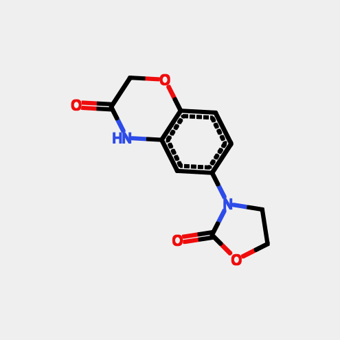 O=C1COc2ccc(N3CCOC3=O)cc2N1